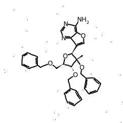 C[C@@]1(OCc2ccccc2)[C@H](OCc2ccccc2)[C@@H](COCc2ccccc2)O[C@H]1c1coc2c(N)ncnc12